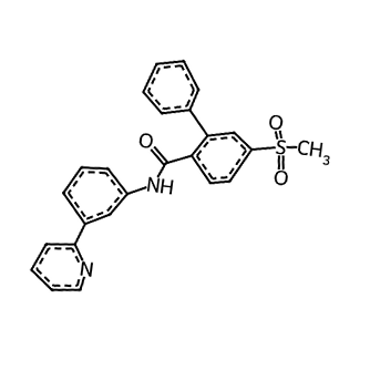 CS(=O)(=O)c1ccc(C(=O)Nc2cccc(-c3ccccn3)c2)c(-c2ccccc2)c1